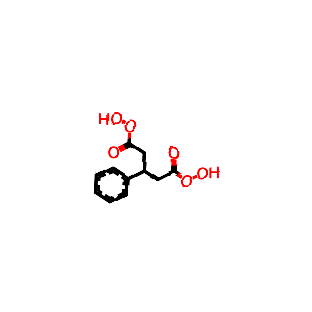 O=C(CC(CC(=O)OO)c1ccccc1)OO